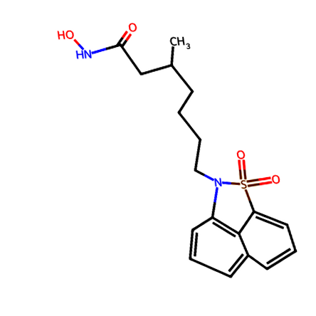 CC(CCCCN1c2cccc3cccc(c23)S1(=O)=O)CC(=O)NO